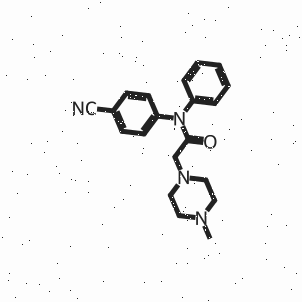 CN1CCN(CC(=O)N(c2ccccc2)c2ccc(C#N)cc2)CC1